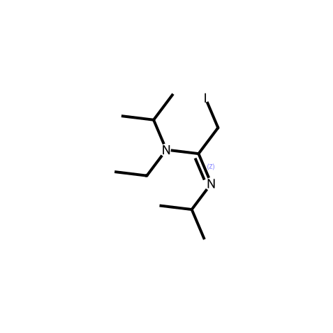 CCN(/C(CI)=N\C(C)C)C(C)C